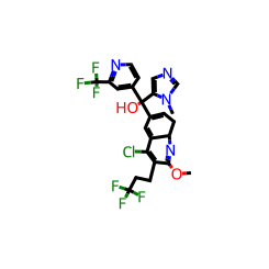 COC1=NC2CC=C(C(O)(c3ccnc(C(F)(F)F)c3)c3cncn3C)C=C2C(Cl)=C1CCC(F)(F)F